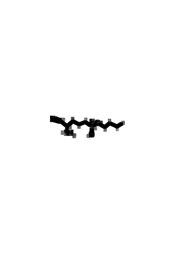 CCCCO[PH](=O)CCCC(N)C#N